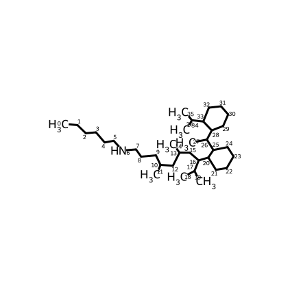 CCCCCCNCCCC(C)CC(C)CC(C(C)C)C1CCCCC1C(C)C1CCCCC1C(C)C